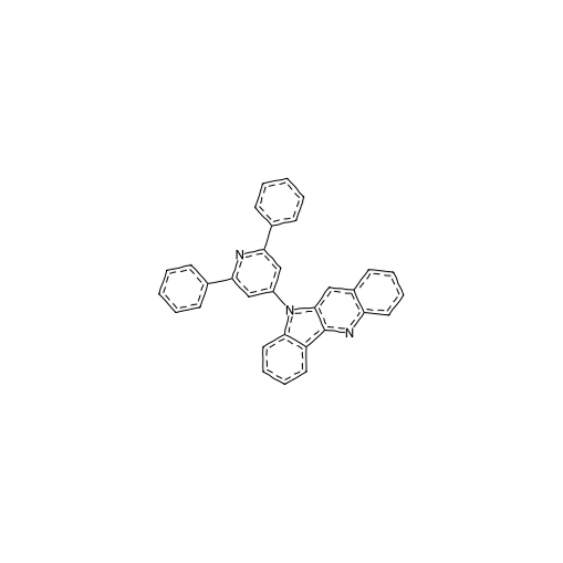 c1ccc(-c2cc(-n3c4ccccc4c4nc5ccccc5cc43)cc(-c3ccccc3)n2)cc1